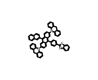 c1ccc2c(c1)Cc1ccccc1N2c1ccc2c(-c3ccc4ccccc4c3)c3cc(N4c5ccccc5Cc5ccccc54)ccc3c(-c3ccc(-c4nc5ccccc5s4)cc3)c2c1